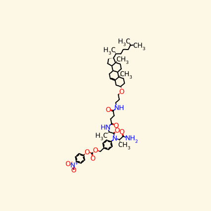 CC(C)CCC[C@@H](C)[C@H]1CCC2C3CC=C4C[C@@H](OCCCNC(=O)CCC(=O)N[C@@H](C)C(=O)N(c5ccc(COC(=O)Oc6ccc([N+](=O)[O-])cc6)cc5)[C@@H](C)C(N)=O)CC[C@]4(C)C3CC[C@@]21C